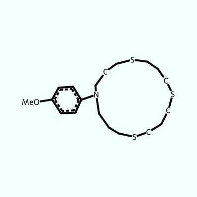 COc1ccc(N2CCCSCCCSCCCSCCC2)cc1